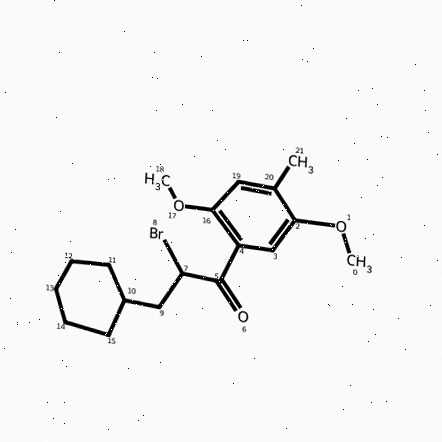 COc1cc(C(=O)C(Br)CC2CCCCC2)c(OC)cc1C